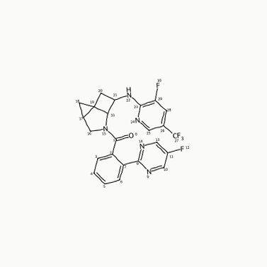 O=C(c1ccccc1-c1ncc(F)cn1)N1CC2CC23CC(Nc2ncc(C(F)(F)F)cc2F)C13